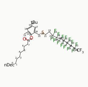 CCCCCCCCCCCCCCCCCC(=O)Oc1c(C)cc(C(C)(C)C)cc1CSCCC(F)(F)C(F)(F)C(F)(F)C(F)(F)C(F)(F)C(F)(F)C(F)(F)C(F)(F)F